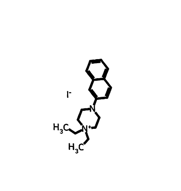 CC[N+]1(CC)CCN(c2ccc3ccccc3c2)CC1.[I-]